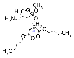 CCCCOC(=O)/C=C\C(=O)OCCCC.CO[Si](CCCN)(OC)OC